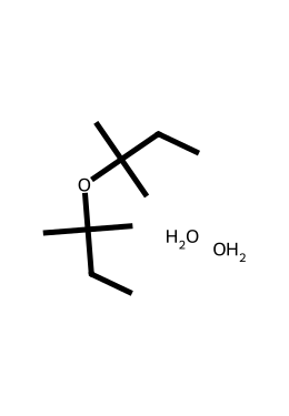 CCC(C)(C)OC(C)(C)CC.O.O